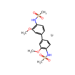 COc1cc(-c2ccc(NS(C)(=O)=O)c(OC)c2)ccc1NS(C)(=O)=O.[Li]